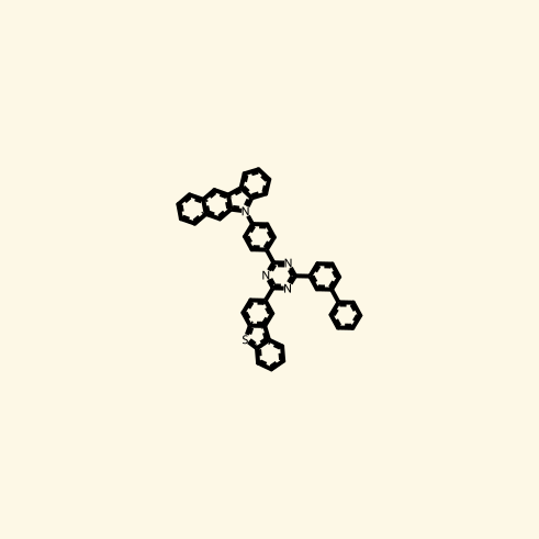 c1ccc(-c2cccc(-c3nc(-c4ccc(-n5c6ccccc6c6cc7ccccc7cc65)cc4)nc(-c4ccc5sc6ccccc6c5c4)n3)c2)cc1